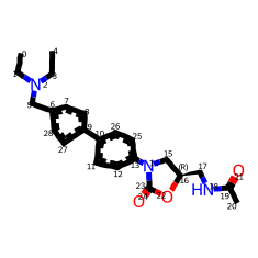 CCN(CC)Cc1ccc(-c2ccc(N3C[C@@H](CNC(C)=O)OC3=O)cc2)cc1